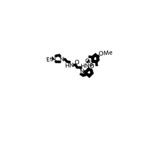 CCN1CCN(CCCNC(=O)CCn2ccc3cccc(NS(=O)(=O)c4c(C)cc(OC)cc4C)c32)CC1